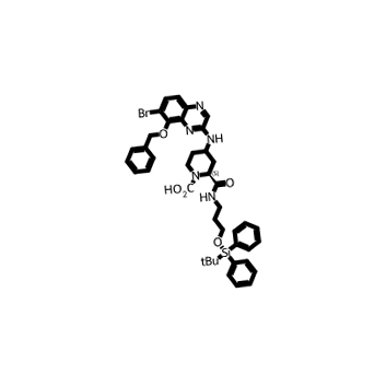 CC(C)(C)[Si](OCCCNC(=O)[C@@H]1CC(Nc2cnc3ccc(Br)c(OCc4ccccc4)c3n2)CCN1C(=O)O)(c1ccccc1)c1ccccc1